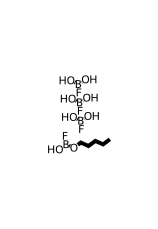 CCCCCOB(O)F.OB(O)F.OB(O)F.OB(O)F